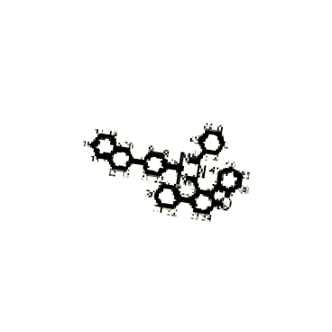 C1=CCC(c2nc(-c3ccc(-c4ccc5ccccc5c4)cc3)nc(-c3c(C4=CCCC=C4)ccc4oc5ccccc5c34)n2)C=C1